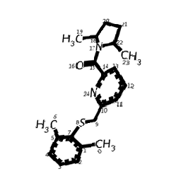 Cc1cccc(C)c1SCc1cccc(C(=O)N2C(C)CCC2C)n1